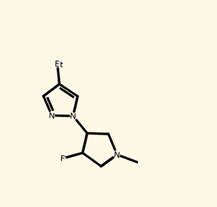 CCc1cnn(C2CN(C)CC2F)c1